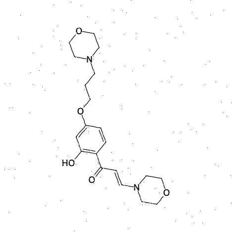 O=C(C=CN1CCOCC1)c1ccc(OCCCN2CCOCC2)cc1O